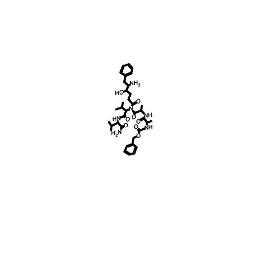 CC(NC(=O)OCc1ccccc1)C(=O)NC(C)C(=O)N(C(=O)CCC(O)C(N)Cc1ccccc1)C(C(=O)NC(C(N)=O)C(C)C)C(C)C